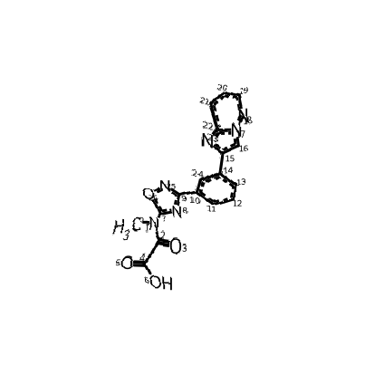 CN(C(=O)C(=O)O)c1nc(-c2cccc(-c3cn4ncccc4n3)c2)no1